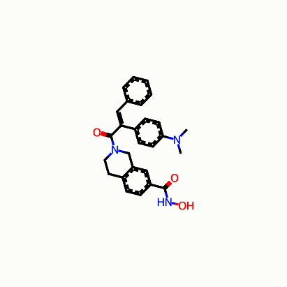 CN(C)c1ccc(C(=Cc2ccccc2)C(=O)N2CCc3ccc(C(=O)NO)cc3C2)cc1